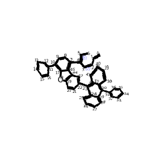 C=C/C=C\C(=C/C)c1ccc(-c2ccccc2)c2oc3ccc(-c4c5ccccc5c(-c5ccccc5)c5ccccc45)cc3c12